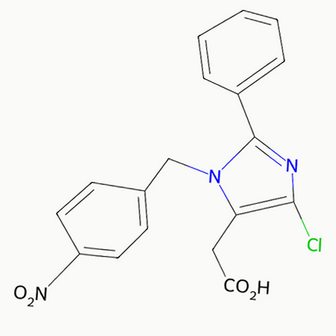 O=C(O)Cc1c(Cl)nc(-c2ccccc2)n1Cc1ccc([N+](=O)[O-])cc1